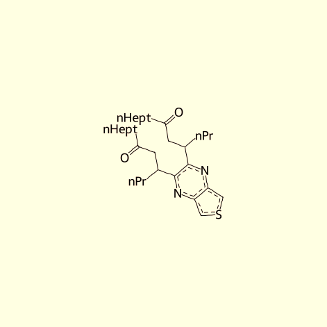 CCCCCCCC(=O)CC(CCC)c1nc2cscc2nc1C(CCC)CC(=O)CCCCCCC